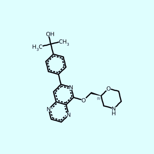 CC(C)(O)c1ccc(-c2cc3nccnc3c(OC[C@@H]3CNCCO3)n2)cc1